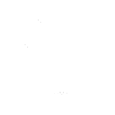 COc1cc(C(F)(F)F)c2c(C)ncnc2c1